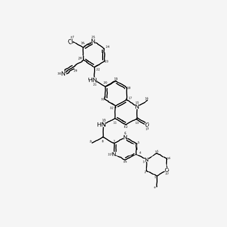 CC1CN(c2cnc(C(C)Nc3cc(=O)n(C)c4ccc(Nc5ccnc(Cl)c5C#N)cc34)nc2)CCO1